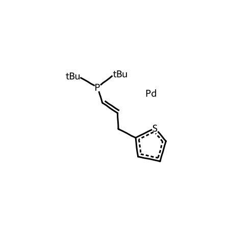 CC(C)(C)P(C=CCc1cccs1)C(C)(C)C.[Pd]